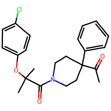 CC(=O)C1(c2ccccc2)CCN(C(=O)C(C)(C)Oc2ccc(Cl)cc2)CC1